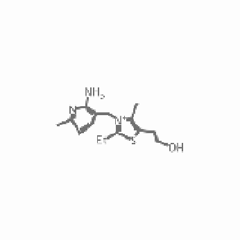 CCc1sc(CCO)c(C)[n+]1Cc1ccc(C)nc1N